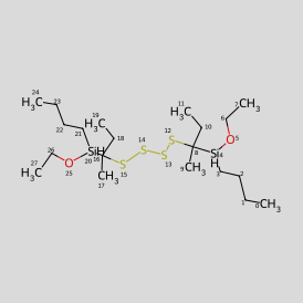 CCCC[SiH](OCC)C(C)(CC)SSSSC(C)(CC)[SiH](CCCC)OCC